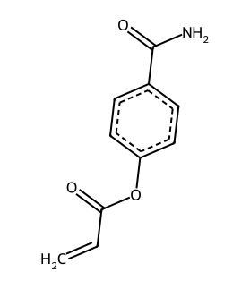 C=CC(=O)Oc1ccc(C(N)=O)cc1